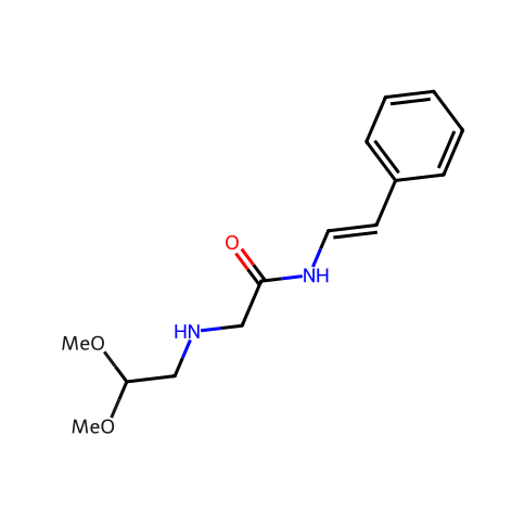 COC(CNCC(=O)NC=Cc1ccccc1)OC